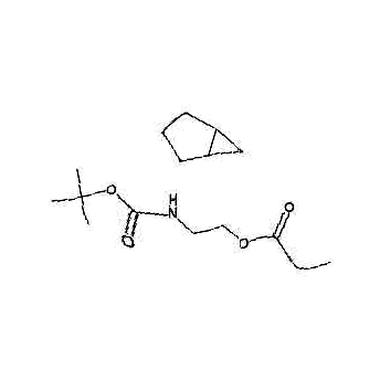 C1CC2CC2C1.CCC(=O)OCCNC(=O)OC(C)(C)C